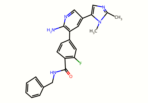 Cc1ncc(-c2cnc(N)c(-c3ccc(C(=O)NCc4ccccc4)c(F)c3)c2)n1C